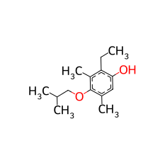 CCc1c(O)cc(C)c(OCC(C)C)c1C